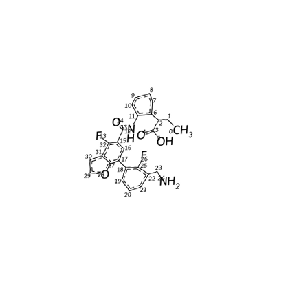 CCC(C(=O)O)c1ccccc1NC(=O)c1cc(-c2cccc(CN)c2F)c2occc2c1F